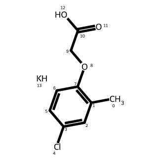 Cc1cc(Cl)ccc1OCC(=O)O.[KH]